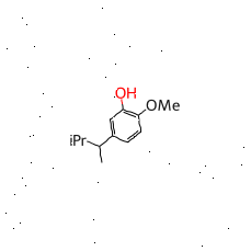 COc1ccc(C(C)C(C)C)cc1O